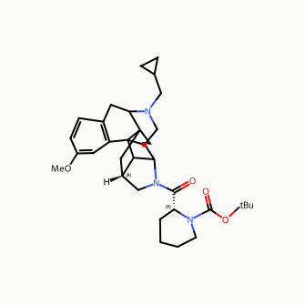 COc1ccc2c(c1)C13CCN(CC4CC4)C(C2)C12CCC1C3[C@H](CN1C(=O)[C@H]1CCCCN1C(=O)OC(C)(C)C)C2